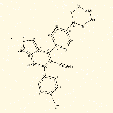 N#Cc1c(-c2ccc(O)cc2)nc2[nH]ncc2c1-c1ccc(N2CCNCC2)cc1